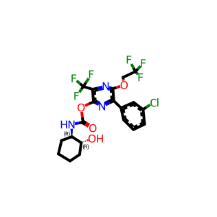 O=C(N[C@@H]1CCCC[C@H]1O)Oc1nc(-c2cccc(Cl)c2)c(OCC(F)(F)F)nc1C(F)(F)F